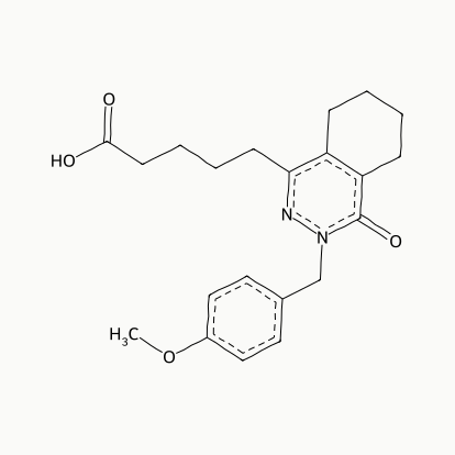 COc1ccc(Cn2nc(CCCCC(=O)O)c3c(c2=O)CCCC3)cc1